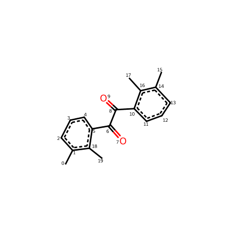 Cc1cccc(C(=O)C(=O)c2cccc(C)c2C)c1C